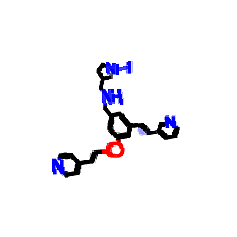 C(=C\c1cc(CNCC2CCNC2)cc(OCCc2ccncc2)c1)/c1cccnc1